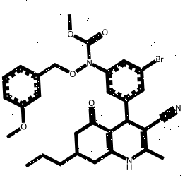 CCCC1CC(=O)C2=C(C1)NC(C)=C(C#N)C2c1cc(Br)cc(N(OCc2cccc(OC)c2)C(=O)OC)c1